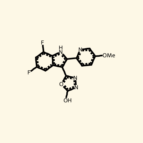 COc1ccc(-c2[nH]c3c(F)cc(F)cc3c2-c2nnc(O)o2)nc1